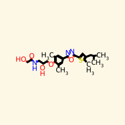 Cc1cc(-c2nnc(-c3cc(CC(C)C)c(C)s3)o2)cc(C)c1OC[C@H](O)CNC(=O)CO